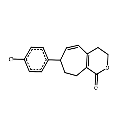 O=C1OCCC2=C1CCC(c1ccc(Cl)cc1)C=C2